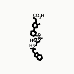 Cc1cc(-c2cccc(S(=O)(=O)N(C)C[C@H](O)CNC(C)(C)CC3Cc4ccccc4C3)c2)ccc1CCC(=O)O